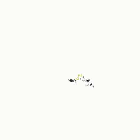 [CaH+].[SH-].[S]=[BiH].[SrH2]